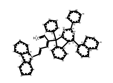 C=C/C(=C\C=C\n1c2ccccc2c2ccccc21)C1(c2ccccc2)c2ccccc2-c2c(-c3cccc4ccccc34)nc(-c3ccccc3)nc21